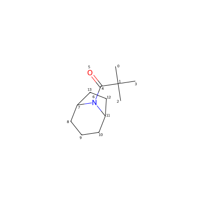 CC(C)(C)C(=O)N1C2CCCC1CC2